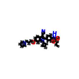 CCCS(=O)(=O)Nc1ccc(-c2c(C#N)c3ccc(OCCCN4CCCC4)cc3n2C2CCC2)cc1